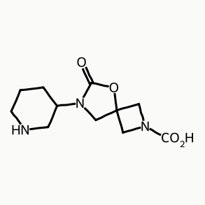 O=C(O)N1CC2(C1)CN(C1CCCNC1)C(=O)O2